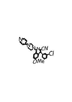 COc1ccc2c(N3CCN(c4ccncc4)CC3)nc(C#N)c(-c3cccc(Cl)c3)c2c1